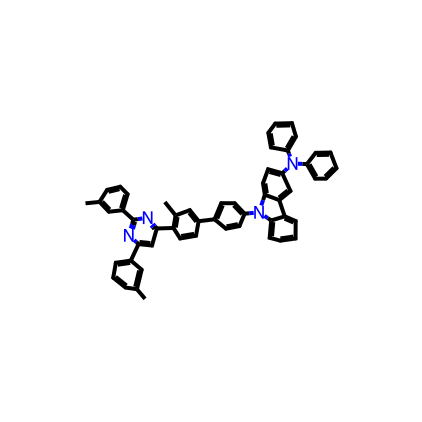 Cc1cccc(-c2cc(-c3ccc(-c4ccc(-n5c6ccccc6c6cc(N(c7ccccc7)c7ccccc7)ccc65)cc4)cc3C)nc(-c3cccc(C)c3)n2)c1